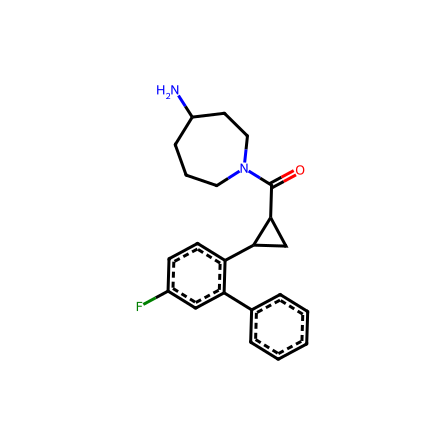 NC1CCCN(C(=O)C2CC2c2ccc(F)cc2-c2ccccc2)CC1